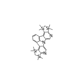 C[Si]1(C)C[Si](C)(C)c2c1ncc1c2c2cccc3c4c5c(ncc4n1c23)[Si](C)(C)C[Si]5(C)C